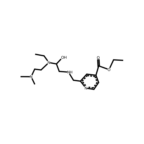 CCOC(=O)c1ccnc(CNCC(O)N(CC)CCN(C)C)c1